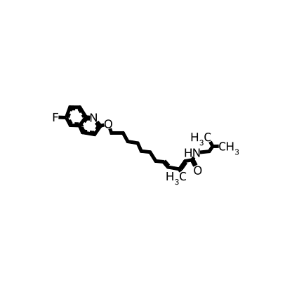 CC(C=CCCCCCCCOc1ccc2cc(F)ccc2n1)=CC(=O)NCC(C)C